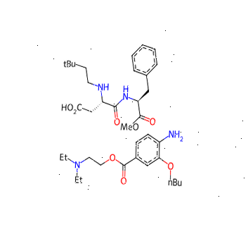 CCCCOc1cc(C(=O)OCCN(CC)CC)ccc1N.COC(=O)[C@H](Cc1ccccc1)NC(=O)[C@H](CC(=O)O)NCCC(C)(C)C